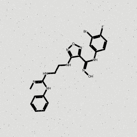 C/N=C(/NCCNc1nonc1/C(=N/O)Nc1ccc(F)c(Br)c1)Nc1ccccc1